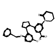 O=C(O)c1cc(C2=C(c3cc(Cl)ccc3OCc3ccccc3)CCC2)cc(N2CCCCC2=O)c1